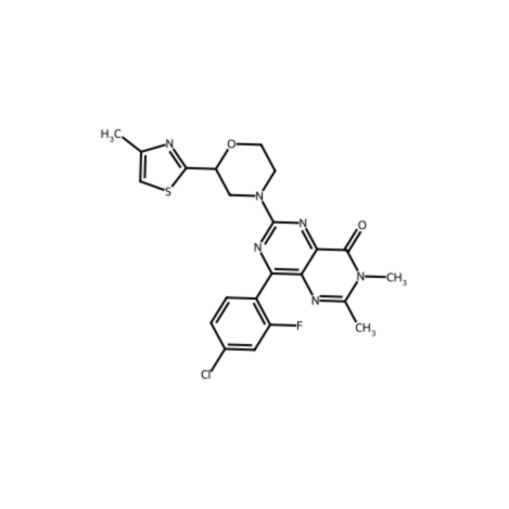 Cc1csc(C2CN(c3nc(-c4ccc(Cl)cc4F)c4nc(C)n(C)c(=O)c4n3)CCO2)n1